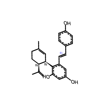 C=C(C)[C@H]1CCC(C)=C[C@H]1c1c(O)cc(O)cc1/C=C/c1ccc(O)cc1